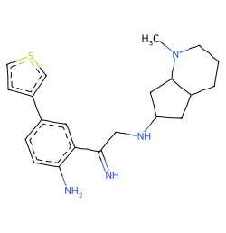 CN1CCCC2CC(NCC(=N)c3cc(-c4ccsc4)ccc3N)CC21